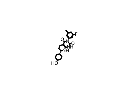 Cc1cc(F)cc(-n2c(=O)[nH]c3c(c2=O)CC[C@H](C2CCC(O)CC2)N3)c1